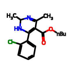 CCCCOC(=O)C1=C(c2ccccc2Cl)NC(C)N=C1C